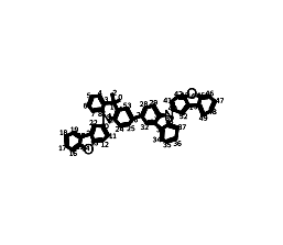 CC1(C)c2ccccc2N(c2ccc3oc4ccccc4c3c2)c2ccc(-c3ccc4c(c3)c3ccccc3n4-c3ccc4oc5ccccc5c4c3)cc21